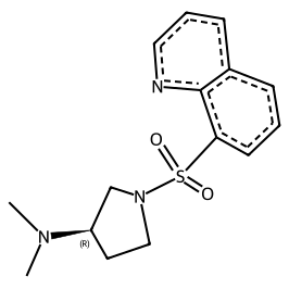 CN(C)[C@@H]1CCN(S(=O)(=O)c2cccc3cccnc23)C1